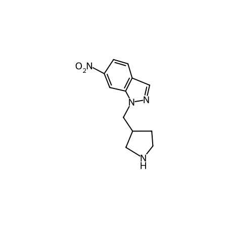 O=[N+]([O-])c1ccc2cnn(CC3CCNC3)c2c1